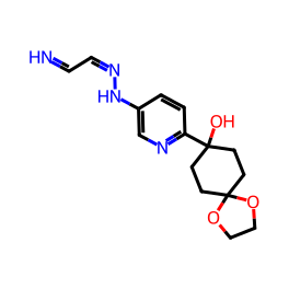 N=C/C=N\Nc1ccc(C2(O)CCC3(CC2)OCCO3)nc1